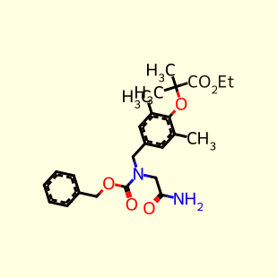 CCOC(=O)C(C)(C)Oc1c(C)cc(CN(CC(N)=O)C(=O)OCc2ccccc2)cc1C